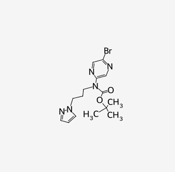 CC(C)(C)OC(=O)N(CCCn1cccn1)c1cnc(Br)cn1